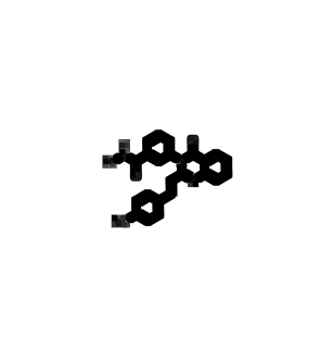 CCNC(=O)c1cccc(-n2c(/C=C/c3ccc(C#N)cc3)nc3ccccc3c2=O)c1